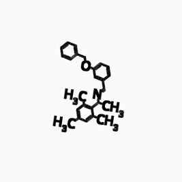 Cc1cc(C)c(C(C)N=Cc2cccc(OCc3ccccc3)c2)c(C)c1